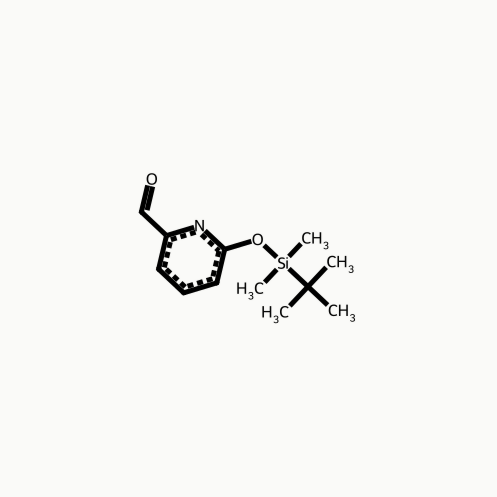 CC(C)(C)[Si](C)(C)Oc1cccc(C=O)n1